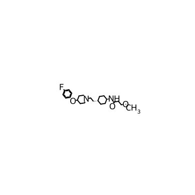 COCCC(=O)N[C@H]1CC[C@H](CCN2CCC(Oc3ccc(F)cc3)CC2)CC1